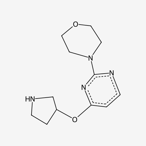 c1cc(OC2CCNC2)nc(N2CCOCC2)n1